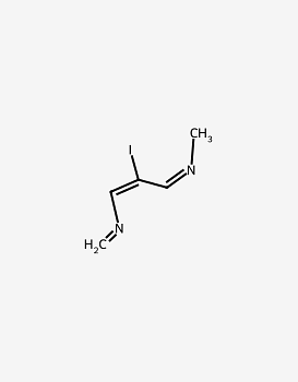 C=N/C=C(I)\C=N/C